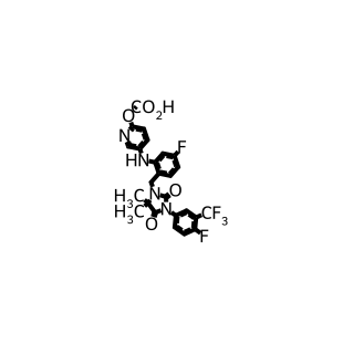 CC1(C)C(=O)N(c2ccc(F)c(C(F)(F)F)c2)C(=O)N1Cc1ccc(F)cc1Nc1ccc(OC(=O)O)nc1